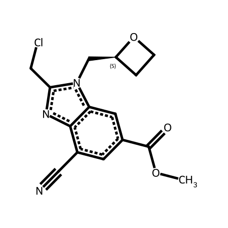 COC(=O)c1cc(C#N)c2nc(CCl)n(C[C@@H]3CCO3)c2c1